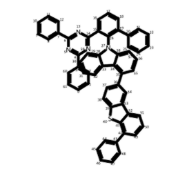 c1ccc(-c2nc(-c3ccccc3)nc(-c3cccc(-c4ccccc4)c3-n3c4ccccc4c4c(-c5ccc6sc7c(-c8ccccc8)cccc7c6c5)cccc43)n2)cc1